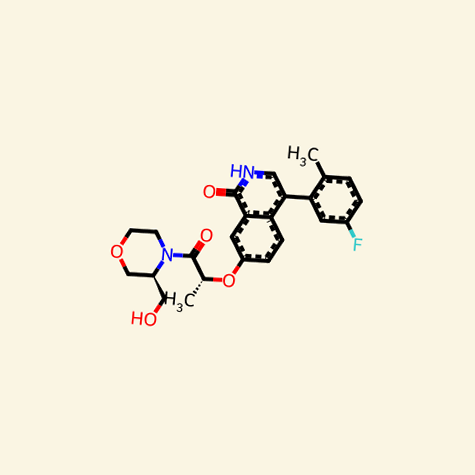 Cc1ccc(F)cc1-c1c[nH]c(=O)c2cc(O[C@H](C)C(=O)N3CCOC[C@@H]3CO)ccc12